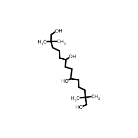 CC(C)(CO)CCCC(O)CCC(O)CCCC(C)(C)CO